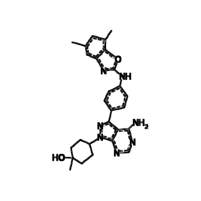 Cc1cc(C)c2oc(Nc3ccc(-c4nn(C5CCC(C)(O)CC5)c5ncnc(N)c45)cc3)nc2c1